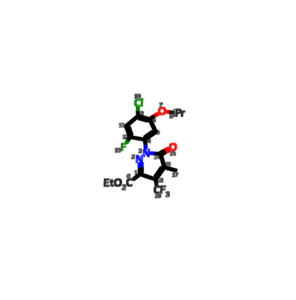 CCOC(=O)c1nn(-c2cc(OC(C)C)c(Cl)cc2F)c(=O)c(C)c1C(F)(F)F